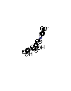 COc1ccc([C@@H]2CC(=O)c3c(O)cc(OC(=O)/C=C/c4ccc([N+](=O)[O-])cn4)cc3O2)cc1O